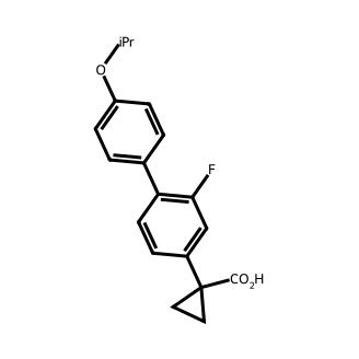 CC(C)Oc1ccc(-c2ccc(C3(C(=O)O)CC3)cc2F)cc1